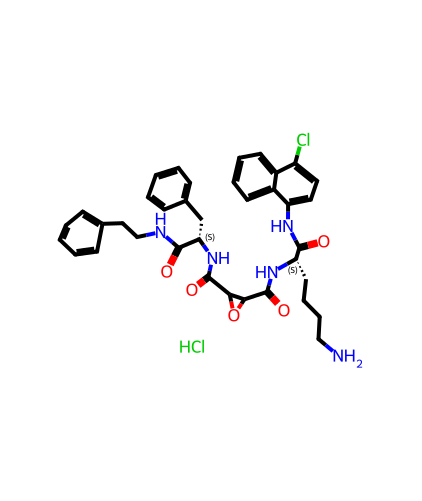 Cl.NCCCC[C@H](NC(=O)C1OC1C(=O)N[C@@H](Cc1ccccc1)C(=O)NCCc1ccccc1)C(=O)Nc1ccc(Cl)c2ccccc12